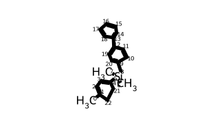 CC1=CC=C([Si](C)(C)Cc2ccc(-c3ccccc3)cc2)CC1